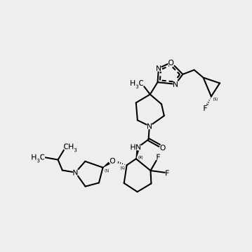 CC(C)CN1CC[C@H](O[C@H]2CCCC(F)(F)[C@@H]2NC(=O)N2CCC(C)(c3noc(CC4C[C@@H]4F)n3)CC2)C1